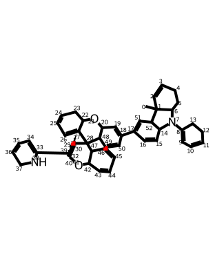 CC12C=CCCC1N(C1=CC=CCC1)C1C=CC(C3=CC4OC5CC=CC=C5C5(c6ccc(C7=CC=CCN7)cc6OC6C=CC=CC65)C4C=C3)=CC12